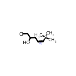 C[Si](C)(C)/C=C\CC(O)CCl